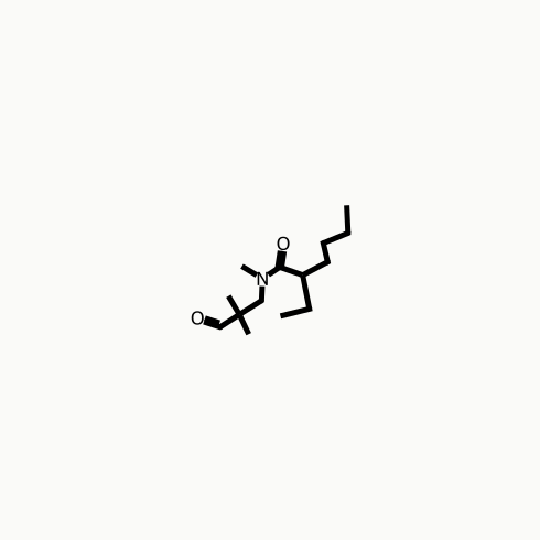 CCCCC(CC)C(=O)N(C)CC(C)(C)C=O